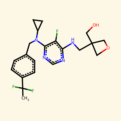 CC(F)(F)c1ccc(CN(c2ncnc(NCC3(CO)COC3)c2F)C2CC2)cc1